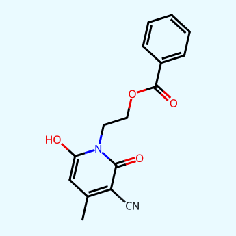 Cc1cc(O)n(CCOC(=O)c2ccccc2)c(=O)c1C#N